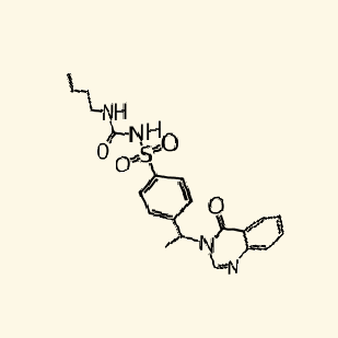 CCCCNC(=O)NS(=O)(=O)c1ccc(C(C)n2cnc3ccccc3c2=O)cc1